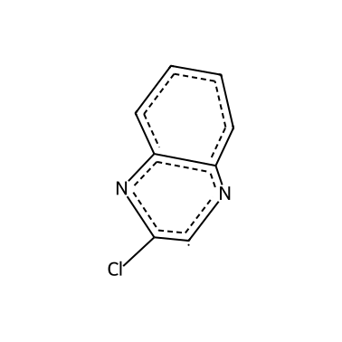 Clc1[c]nc2ccccc2n1